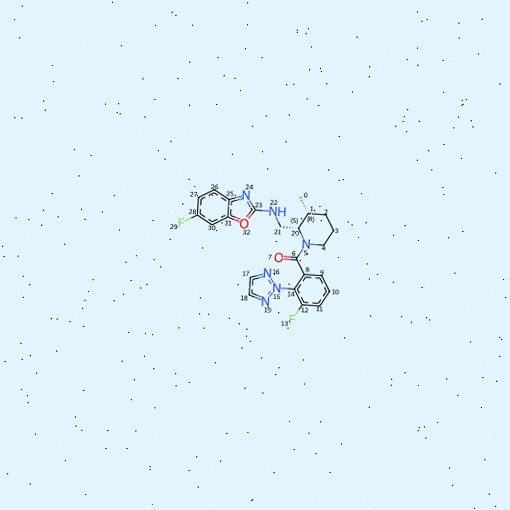 C[C@@H]1CCCN(C(=O)c2cccc(F)c2-n2nccn2)[C@@H]1CNc1nc2ccc(F)cc2o1